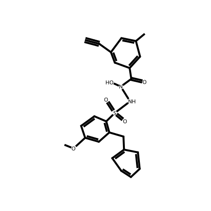 C#Cc1cc(C)cc(C(=O)N(O)NS(=O)(=O)c2ccc(OC)cc2Cc2ccccc2)c1